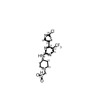 O=[SH](=O)CN1CCC(Nc2ncc(C(F)(F)F)c(-c3cnc(Cl)s3)n2)CC1